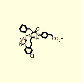 O=C(O)Cc1ccc(NC(=O)[C@H](Cc2ccccc2)NC(=O)CCc2cc(Cl)ccc2-n2cnnn2)cc1